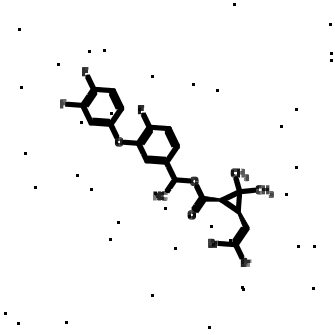 CC1(C)[C@H](C(=O)OC(C#N)c2ccc(F)c(Oc3ccc(F)c(F)c3)c2)[C@@H]1C=C(Br)Br